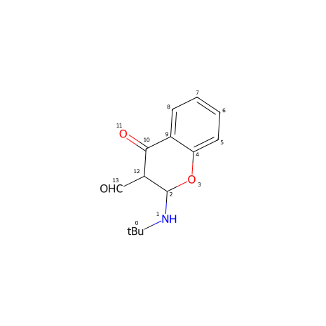 CC(C)(C)NC1Oc2ccccc2C(=O)C1C=O